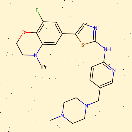 CC(C)N1CCOc2c(F)cc(-c3cnc(Nc4ccc(CN5CCN(C)CC5)cn4)s3)cc21